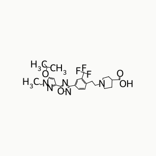 CCn1nc(-c2nc(-c3ccc(CCN4CCC(C(=O)O)CC4)c(C(F)(F)F)c3)no2)cc1OC(C)C